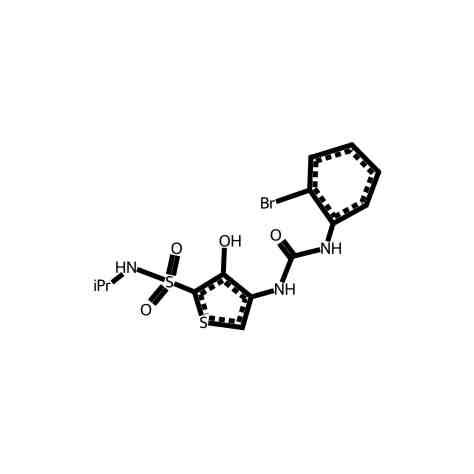 CC(C)NS(=O)(=O)c1scc(NC(=O)Nc2ccccc2Br)c1O